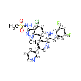 Cn1nc(NS(C)(=O)=O)c2c(Cl)ccc(-c3cc(-c4cccnc4)cnc3[C@@H](N)Cc3cc(F)cc(F)c3)c21